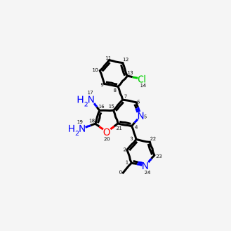 Cc1cc(-c2ncc(-c3ccccc3Cl)c3c(N)c(N)oc23)ccn1